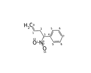 C=CC[C](c1ccccc1)[N+](=O)[O-]